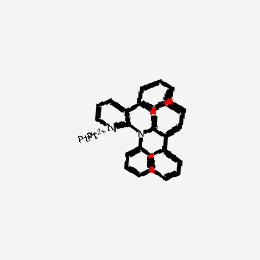 [Pt+2].[Pt+2].c1ccc(-c2cccnc2N(c2ccccc2)c2ncccc2-c2ccccc2)cc1